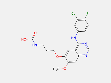 COc1cc2ncnc(Nc3ccc(F)c(Cl)c3)c2cc1OCCCNC(=O)O